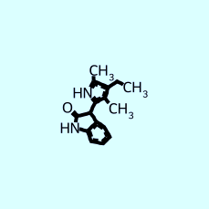 CCc1c(C)[nH]c(C2C(=O)Nc3ccccc32)c1C